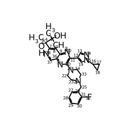 CC(C)(O)[C@](C)(O)c1cc2nc(-c3cnn(C4CC4)c3)c(N3CCN(Cc4ccccc4F)CC3)nc2cn1